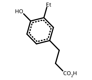 CCc1cc(CCC(=O)O)ccc1O